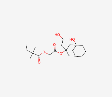 CCC(C)(C)C(=O)OCC(=O)OC1(CCO)CC2CCCC(O)(C2)C1